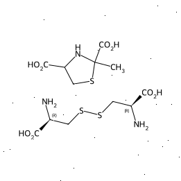 CC1(C(=O)O)NC(C(=O)O)CS1.N[C@@H](CSSC[C@H](N)C(=O)O)C(=O)O